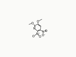 COc1cc([N+](=O)[O-])c([N+](=O)[O-])nc1OC